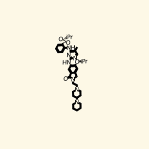 Cc1cnc(Nc2cc3c(cc2OC(C)C)CN(CCN2CCC(N4CCCCC4)CC2)C3=O)nc1Nc1ccccc1S(=O)(=O)C(C)C